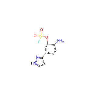 Nc1ccc(-c2cc[nH]n2)cc1OS(=O)(=O)F